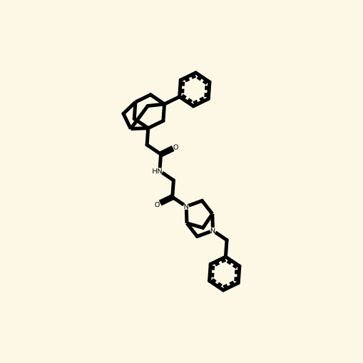 O=C(CC12CC3CC1CC(c1ccccc1)(C3)C2)NCC(=O)N1CC2CC1CN2Cc1ccccc1